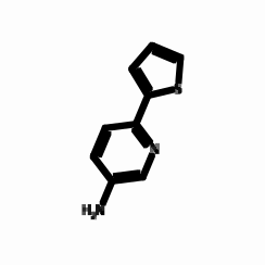 Nc1ccc(-c2cccs2)nc1